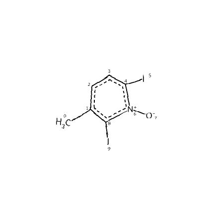 Cc1ccc(I)[n+]([O-])c1I